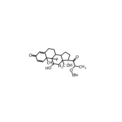 CC(OC(C)(C)C)C(=O)[C@]1(O)CCC2C3CCC4=CC(=O)C=CC4(C)C3(F)C(O)CC21C